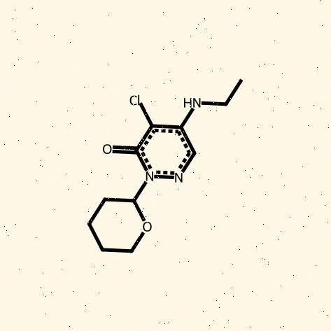 CCNc1cnn(C2CCCCO2)c(=O)c1Cl